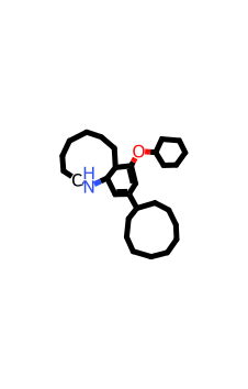 C1=C(C2CCCCCCCCC2)C=C(OC2CCCCC2)C2CCCCCCCNC12